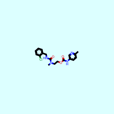 Cc1ccc(NC(=O)OCCN(C)C(=O)NCc2ccccc2Cl)cn1